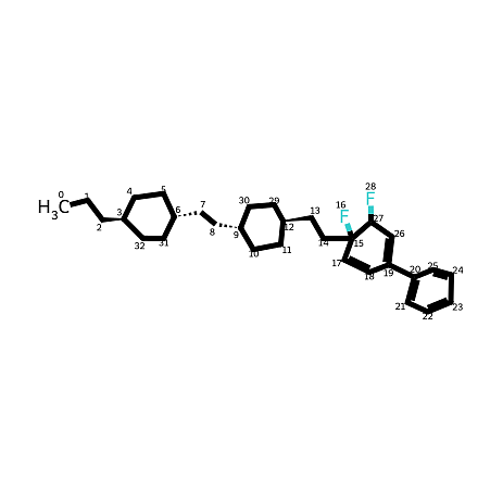 CCC[C@H]1CC[C@H](CC[C@H]2CC[C@H](CCC3(F)C=CC(c4ccccc4)=CC3F)CC2)CC1